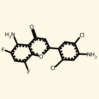 Nc1cc(Cl)c(-c2cc(=O)c3c(N)c(F)cc(F)c3o2)cc1Cl